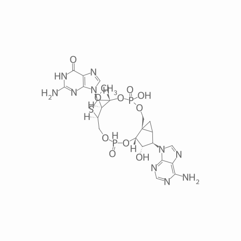 CO[C@H]1[C@H]2OP(=O)(O)OC[C@@]34CC3[C@@H](n3cnc5c(N)ncnc53)[C@H](O)[C@@H]4O[PH](=O)OC[C@H]1S[C@H]2n1cnc2c(=O)[nH]c(N)nc21